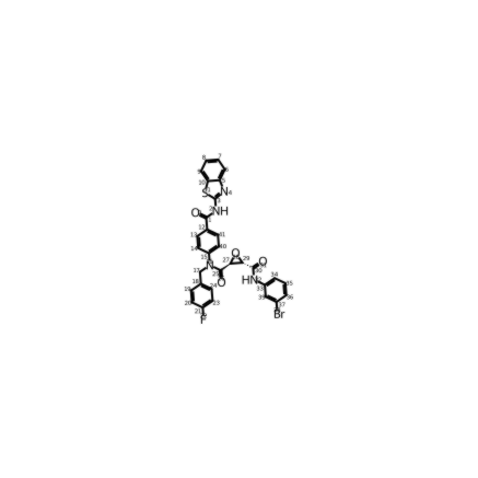 O=C(Nc1nc2ccccc2s1)c1ccc(N(Cc2ccc(F)cc2)C(=O)[C@H]2O[C@@H]2C(=O)Nc2cccc(Br)c2)cc1